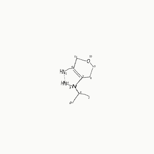 CC(C)N1NNC2=C1CCOC2